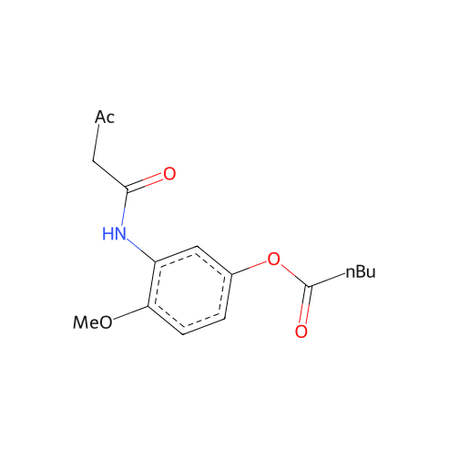 CCCCC(=O)Oc1ccc(OC)c(NC(=O)CC(C)=O)c1